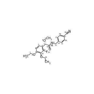 CCOc1ccc([C@H](OC)C(=O)NCc2ccc(C#N)cc2)c(F)c1OCC